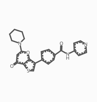 O=C(Nc1ccncc1)c1ccc(-c2csc3c(=O)cc(N4CCCCC4)oc23)cc1